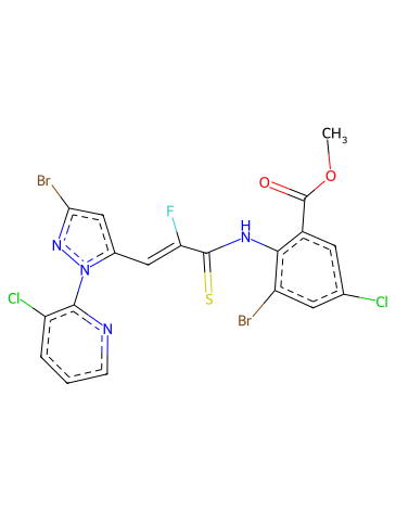 COC(=O)c1cc(Cl)cc(Br)c1NC(=S)/C(F)=C/c1cc(Br)nn1-c1ncccc1Cl